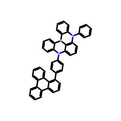 c1ccc(N2c3ccccc3B3c4ccccc4N(c4ccc(-c5cccc6c7ccccc7c7ccccc7c56)cc4)c4cccc2c43)cc1